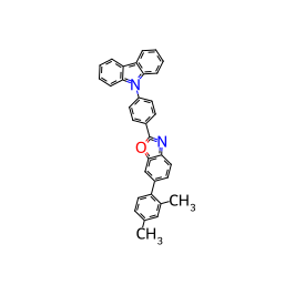 Cc1ccc(-c2ccc3nc(-c4ccc(-n5c6ccccc6c6ccccc65)cc4)oc3c2)c(C)c1